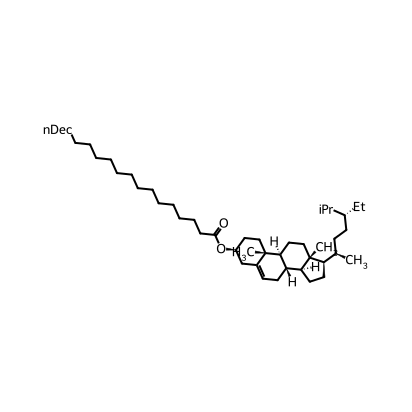 CCCCCCCCCCCCCCCCCCCCCCCC(=O)O[C@H]1CC[C@@]2(C)C(=CC[C@H]3[C@@H]4CC[C@H]([C@H](C)CC[C@@H](CC)C(C)C)[C@@]4(C)CC[C@@H]32)C1